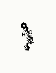 O=C(Nc1nnc(NCc2cccs2)s1)c1cc2ccccc2s1